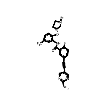 CCN1CC[C@@H](Oc2ccc(C(F)(F)F)cc2NC(=O)c2cc(C#Cc3cnc(N)nc3)ccc2F)C1